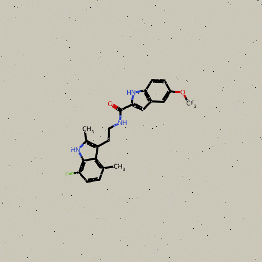 Cc1[nH]c2c(F)ccc(C)c2c1CCNC(=O)c1cc2cc(OC(F)(F)F)ccc2[nH]1